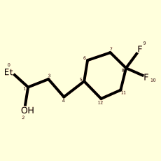 CCC(O)CCC1CCC(F)(F)CC1